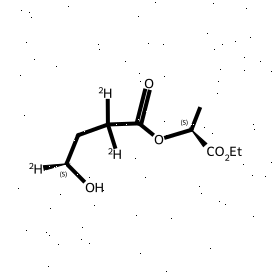 [2H][C@H](O)CC([2H])([2H])C(=O)O[C@@H](C)C(=O)OCC